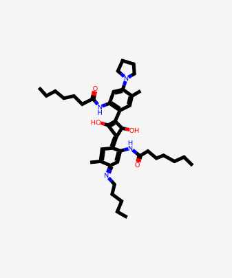 CCCCCCC(=O)NC1=CC(=N\CCCCC)/C(C)=CC/1=C1\C(O)=C(c2cc(C)c(N3CCCC3)cc2NC(=O)CCCCCC)C1O